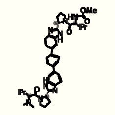 COC(=O)N[C@H](C(=O)N1CCC[C@H]1c1nc2ccc(-c3ccc(-c4ccc5nc([C@@H]6CCCN6C(=O)[C@H](C(C)C)N(C)C)[nH]c5c4)cc3)cc2[nH]1)C(C)C